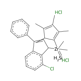 CC1=C(C)C(C)[C]([Zr]([CH3])([CH3])(=[SiH2])[CH]2C=C(c3ccccc3)c3cccc(Cl)c32)=C1C.Cl.Cl